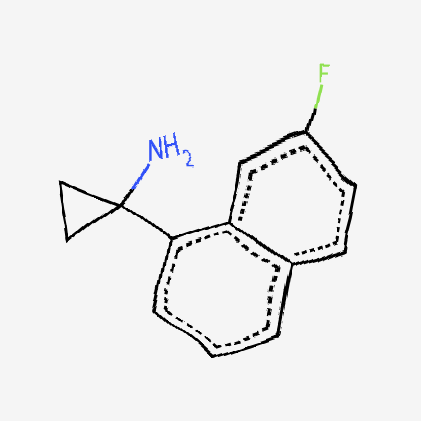 NC1(c2cccc3ccc(F)cc23)CC1